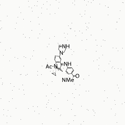 CNC(=O)c1ccc(N[C@H]2c3cc(N4CCN[C@@H](C)C4)ccc3N(C(C)=O)[C@@H](C3CC3)[C@@H]2C)cc1